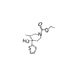 CCOC(=O)N1CCC(O)(c2cccs2)C(C)C1